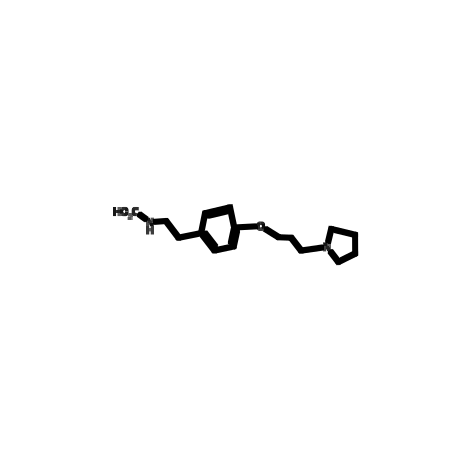 O=C(O)NCCc1ccc(OCCCN2CCCC2)cc1